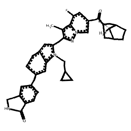 Cc1c(-c2cc3ccc(-c4ccc5c(c4)CNC5=O)cc3n2CC2CC2)nn2cc(C(=O)C3CC4CCC3[C@@H]4N)cc(F)c12